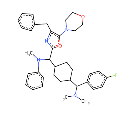 CN(C)C(c1ccc(F)cc1)C1CCC(C(c2nc(Cc3ccccc3)c(N3CCOCC3)o2)N(C)c2ccccc2)CC1